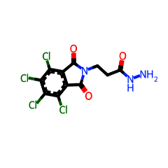 NNC(=O)CCN1C(=O)c2c(Cl)c(Cl)c(Cl)c(Cl)c2C1=O